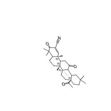 CC(=O)[C@]12CCC(C)(C)CC1C1C(=O)CC3[C@@]4(C)C=C(C#N)C(=O)C(C)(C)C4CC[C@@]3(C)[C@]1(C)CC2